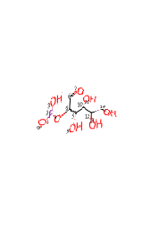 COP(O)O[C@@H](C=O)[C@@H](O)[C@H](O)[C@H](O)CO